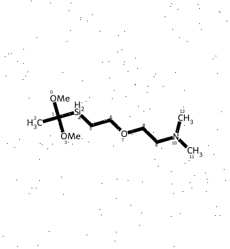 COC(C)(OC)[SiH2]CCOCCN(C)C